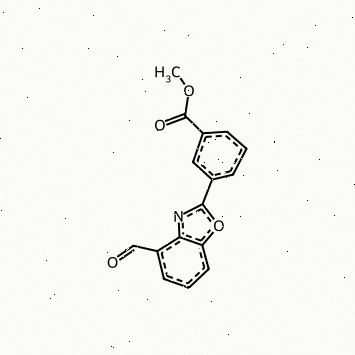 COC(=O)c1cccc(-c2nc3c(C=O)cccc3o2)c1